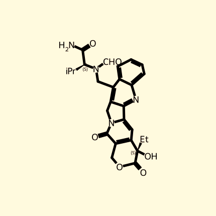 CC[C@@]1(O)C(=O)OCc2c1cc1n(c2=O)Cc2c-1nc1ccccc1c2CN(C=O)[C@H](C(N)=O)C(C)C